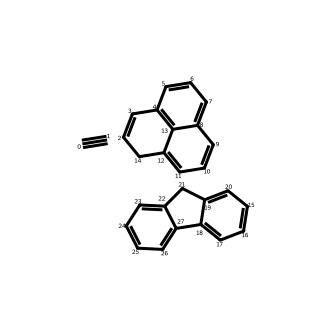 C#C.C1=Cc2cccc3cccc(c23)C1.c1ccc2c(c1)Cc1ccccc1-2